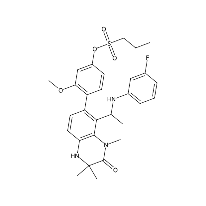 CCCS(=O)(=O)Oc1ccc(-c2ccc3c(c2C(C)Nc2cccc(F)c2)N(C)C(=O)C(C)(C)N3)c(OC)c1